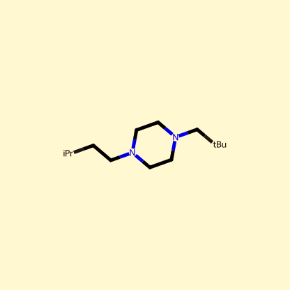 CC(C)CCN1CCN(CC(C)(C)C)CC1